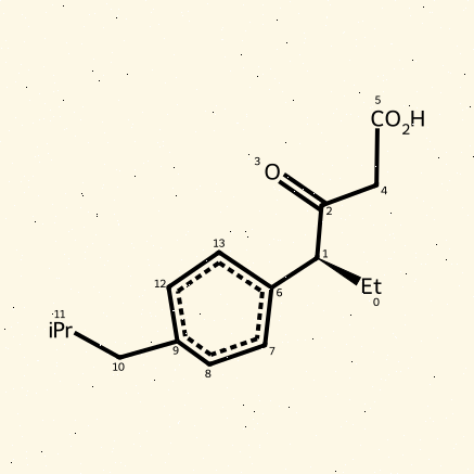 CC[C@H](C(=O)CC(=O)O)c1ccc(CC(C)C)cc1